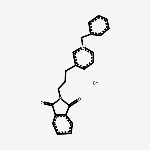 O=C1c2ccccc2C(=O)N1CCCc1ccc[n+](Cc2ccccc2)c1.[Br-]